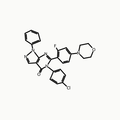 O=c1c2cnn(-c3ccccc3)c2nc(-c2ccc(N3CCOCC3)cc2F)n1-c1ccc(Cl)cc1